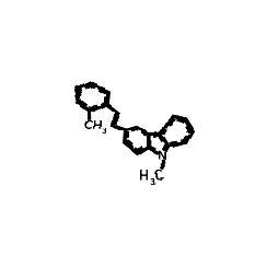 CCn1c2ccccc2c2cc(C=Cc3ccccc3C)ccc21